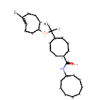 CC/C1=C\CCC(BC(C)(CC)C2CCCC(C(=O)NC3CCCCCCCC3)CCC2)CCC1